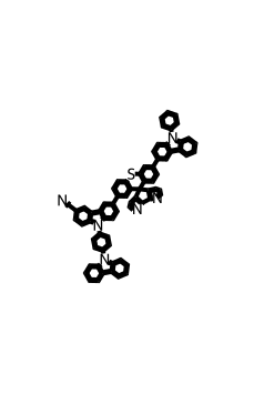 N#Cc1ccc2c(c1)c1cc(-c3ccc4c(c3)C3(c5ccc(-c6ccc7c(c6)c6ccccc6n7-c6ccccc6)cc5S4)c4cccnc4-c4ncccc43)ccc1n2-c1ccc(-n2c3ccccc3c3ccccc32)cc1